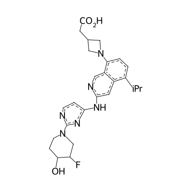 CC(C)c1ccc(N2CC(CC(=O)O)C2)c2cnc(Nc3ccnc(N4CCC(O)C(F)C4)n3)cc12